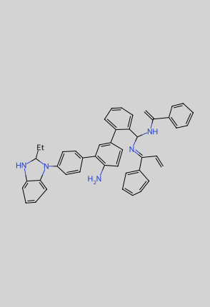 C=C/C(=N\C(NC(=C)c1ccccc1)c1ccccc1-c1ccc(N)c(-c2ccc(N3c4ccccc4NC3CC)cc2)c1)c1ccccc1